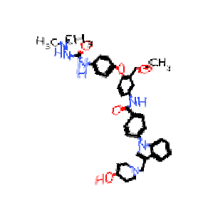 COCc1cc(NC(=O)c2ccc(-n3cc(CN4CCC(O)CC4)c4ccccc43)cc2)ccc1Oc1ccc(NC(=O)NN(C)C)cc1